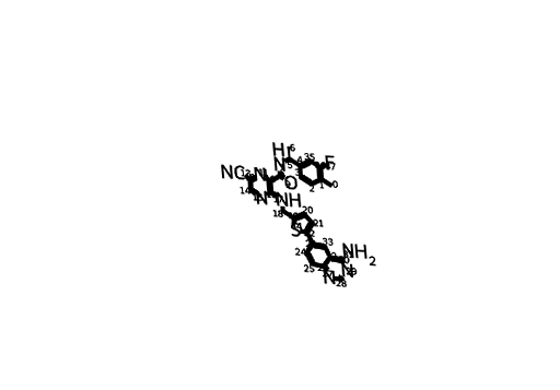 Cc1ccc([C@H](C)NC(=O)c2nc(C#N)cnc2NCc2ccc(-c3ccc4ncnc(N)c4c3)s2)cc1F